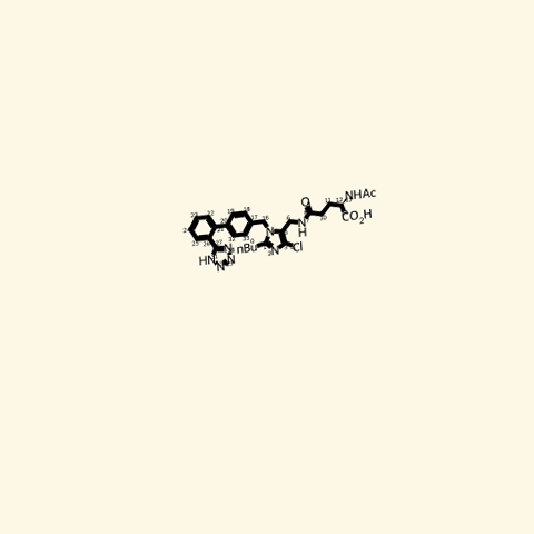 CCCCc1nc(Cl)c(CNC(=O)CC[C@H](NC(C)=O)C(=O)O)n1Cc1ccc(-c2ccccc2-c2nnn[nH]2)cc1